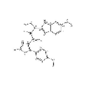 CCc1ccc(-c2sc(C)nc2C(=O)N2CCCC2c2nc3ccc(SC)cc3[nH]2)cc1